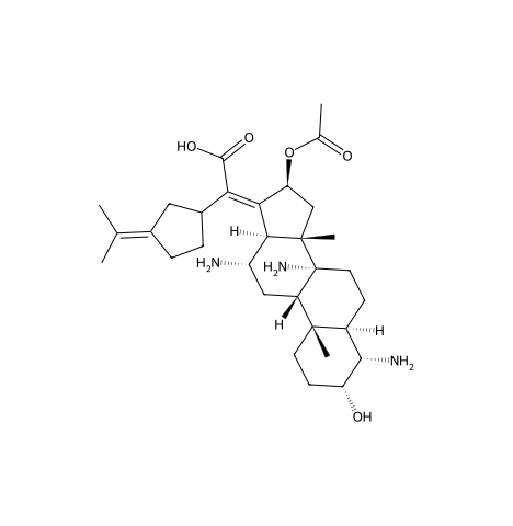 CC(=O)O[C@H]1C[C@@]2(C)[C@H](/C1=C(/C(=O)O)C1CCC(=C(C)C)C1)[C@@H](N)C[C@H]1[C@@]3(C)CC[C@@H](O)[C@@H](N)[C@@H]3CC[C@@]12N